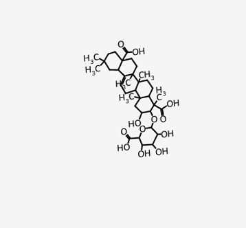 CC1(C)CCC2(C(=O)O)CCC3(C)C(=CCC4C5(C)CC(O)C(OC6OC(C(=O)O)C(O)C(O)C6O)C(C)(C(=O)O)C5CCC43C)C2C1